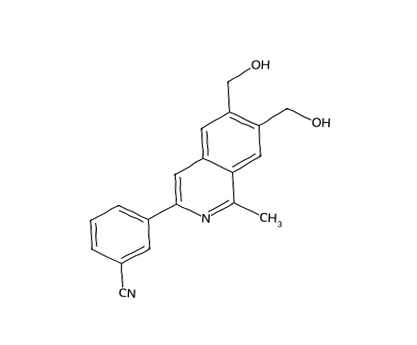 Cc1nc(-c2cccc(C#N)c2)cc2cc(CO)c(CO)cc12